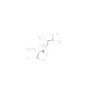 CC(C)C(C)CNC(=O)[C@@H](N)C(C)C